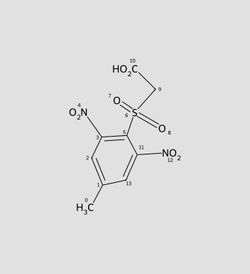 Cc1cc([N+](=O)[O-])c(S(=O)(=O)CC(=O)O)c([N+](=O)[O-])c1